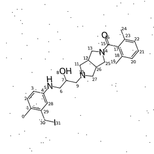 Cc1ccc(NCC(O)CN2CC3CN(C(=O)c4c(C)cccc4C)CC3C2)cc1CI